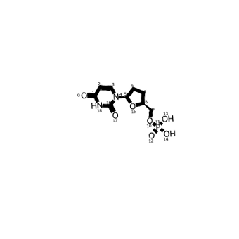 O=c1ccn([C@H]2CC[C@@H](COP(=O)(O)O)O2)c(=O)[nH]1